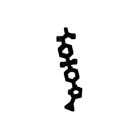 CC(=O)Nc1ccc(S(=O)(=O)N2CCC(N3CC=C(C4CC4)O3)CC2)cc1